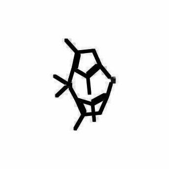 CC1=C2C(C)=[C](C1)[Ti][C]1=C(C)C(=C(C)C1)[Si]2(C)C